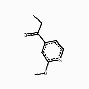 CCC(=O)c1ccnc(OC)c1